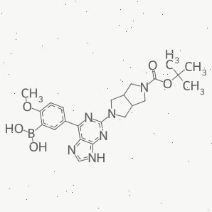 COc1ccc(-c2nc(N3CC4CN(C(=O)OC(C)(C)C)CC4C3)nc3[nH]cnc23)cc1B(O)O